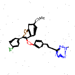 COc1ccc2c(Oc3ccc(C=Cc4nnn(C)n4)cc3)c(-c3ccc(F)cc3)sc2c1